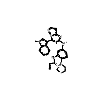 C=CC(=O)Nc1cc(Nc2nc(-c3cn(C)c4ccccc34)n3nccc3n2)ccc1N1CCOCC1